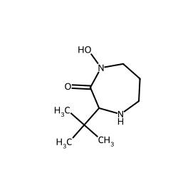 CC(C)(C)C1NCCCN(O)C1=O